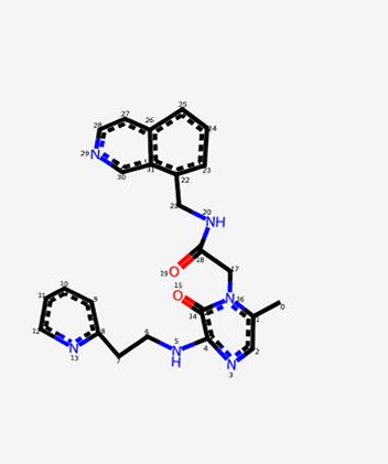 Cc1cnc(NCCc2ccccn2)c(=O)n1CC(=O)NCc1cccc2ccncc12